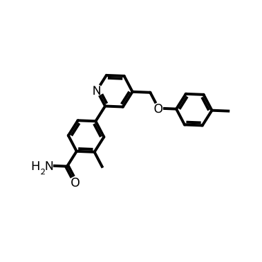 Cc1ccc(OCc2ccnc(-c3ccc(C(N)=O)c(C)c3)c2)cc1